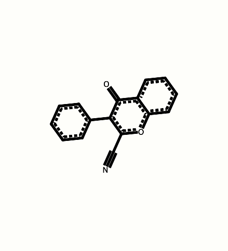 N#Cc1oc2ccccc2c(=O)c1-c1ccccc1